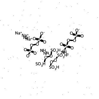 N.N.N.O=S(=O)(O)OOS(=O)(=O)O.O=S(=O)(O)OOS(=O)(=O)O.O=S(=O)([O-])OOS(=O)(=O)[O-].O=S(=O)([O-])OOS(=O)(=O)[O-].[Na+].[Na+].[Na+].[Na+]